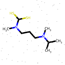 CC(C)N(C)CCCN(C)C(S)S